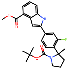 COC(=O)c1cccc2[nH]c(-c3ccc(C4(C)CCCN4C(=O)OC(C)(C)C)c(F)c3)cc12